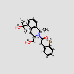 C[C@H]1c2cccc(C(C)(C)O)c2C[C@H](CO)N1C(=O)Cc1ccccc1Br